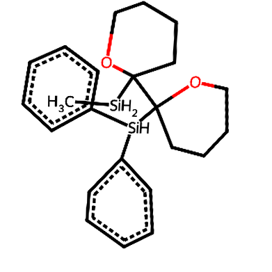 C[SiH2]C1(C2([SiH](c3ccccc3)c3ccccc3)CCCCO2)CCCCO1